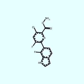 NOC(=O)c1nc(-c2ccc3cc[nH]c3c2F)c(F)cc1Cl